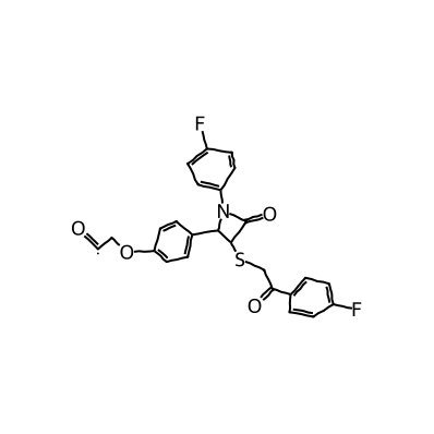 O=[C]COc1ccc(C2C(SCC(=O)c3ccc(F)cc3)C(=O)N2c2ccc(F)cc2)cc1